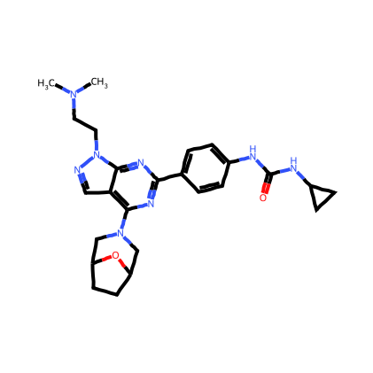 CN(C)CCn1ncc2c(N3CC4CCC(C3)O4)nc(-c3ccc(NC(=O)NC4CC4)cc3)nc21